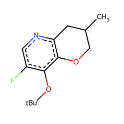 CC1COc2c(ncc(F)c2OC(C)(C)C)C1